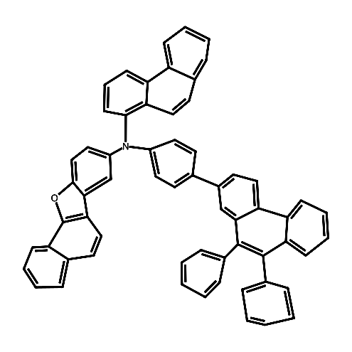 c1ccc(-c2c(-c3ccccc3)c3cc(-c4ccc(N(c5ccc6oc7c8ccccc8ccc7c6c5)c5cccc6c5ccc5ccccc56)cc4)ccc3c3ccccc23)cc1